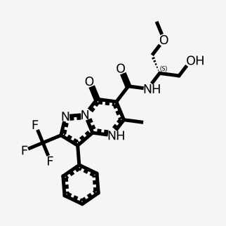 COC[C@H](CO)NC(=O)c1c(C)[nH]c2c(-c3ccccc3)c(C(F)(F)F)nn2c1=O